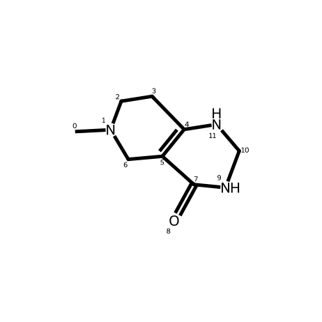 CN1CCC2=C(C1)C(=O)NCN2